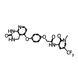 Cn1cc(C(F)(F)F)cc(NC(=O)COc2ccc(Oc3ccnc4c3CNC(=O)N4)cc2)c1=O